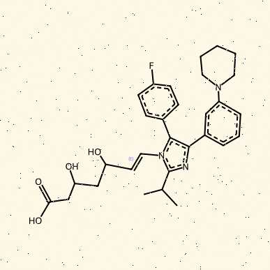 CC(C)c1nc(-c2cccc(N3CCCCC3)c2)c(-c2ccc(F)cc2)n1/C=C/C(O)CC(O)CC(=O)O